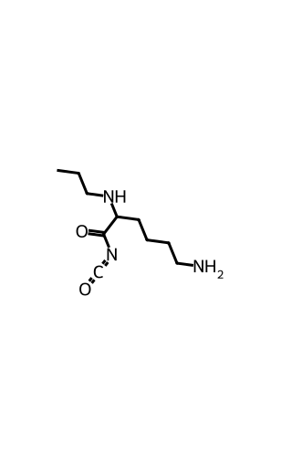 CCCNC(CCCCN)C(=O)N=C=O